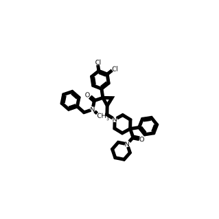 CN(Cc1ccccc1)C(=O)C1(c2ccc(Cl)c(Cl)c2)CC1CN1CCC(C(=O)N2CCCCC2)(c2ccccc2)CC1